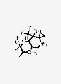 CO[C@@]1(C)O[C@H]2[C@@H](CNC3(CC3)C2(O)C(F)(F)F)OC1C